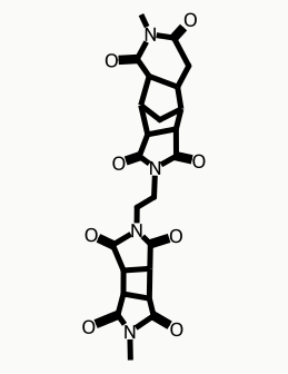 CN1C(=O)CC2C3CC(C2C1=O)C1C(=O)N(CCN2C(=O)C4C5C(=O)N(C)C(=O)C5C4C2=O)C(=O)C31